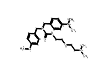 COc1ccc(CN(Cc2ccc(N(C)C)cc2)C(=O)OCCOCCN(C)C)cc1